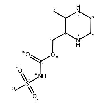 CC1NCCNC1COC(=O)NS(C)(=O)=O